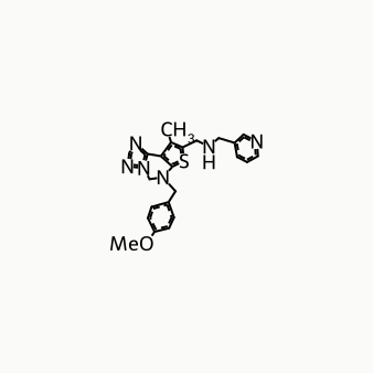 COc1ccc(CN2Cn3ncnc3-c3c2sc(CNCc2cccnc2)c3C)cc1